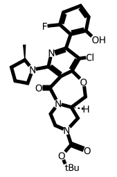 C[C@@H]1CCCN1c1nc(-c2c(O)cccc2F)c(Cl)c2c1C(=O)N1CCN(C(=O)OC(C)(C)C)C[C@@H]1CO2